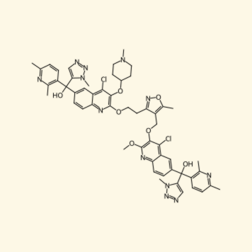 COc1nc2ccc(C(O)(c3ccc(C)nc3C)c3cnnn3C)cc2c(Cl)c1OCc1c(CCOc2nc3ccc(C(O)(c4ccc(C)nc4C)c4cnnn4C)cc3c(Cl)c2OC2CCN(C)CC2)noc1C